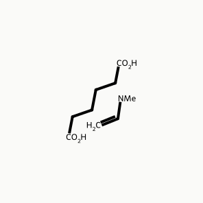 C=CNC.O=C(O)CCCCC(=O)O